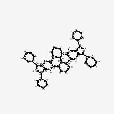 c1ccc(-c2sc(-c3ccccc3)c3nc4c5cccc6c7nc8c(-c9ccccc9)sc(-c9ccccc9)c8nc7c7cccc(c4nc23)c7c56)cc1